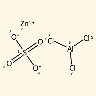 O=S(=O)([O-])[O-].[Cl][Al]([Cl])[Cl].[Zn+2]